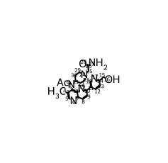 CC(=O)N(c1c(C)cnc2ccc(-c3ccc(CO)nc3)nc12)C1CCN(CC(N)=O)CC1